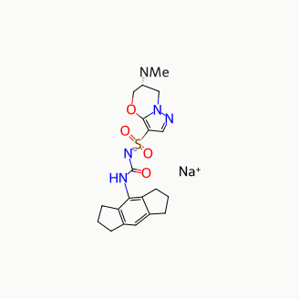 CN[C@H]1COc2c(S(=O)(=O)[N-]C(=O)Nc3c4c(cc5c3CCC5)CCC4)cnn2C1.[Na+]